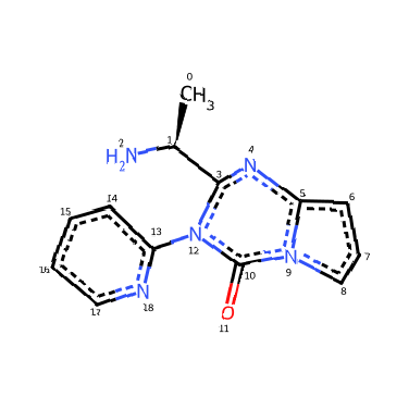 C[C@H](N)c1nc2cccn2c(=O)n1-c1ccccn1